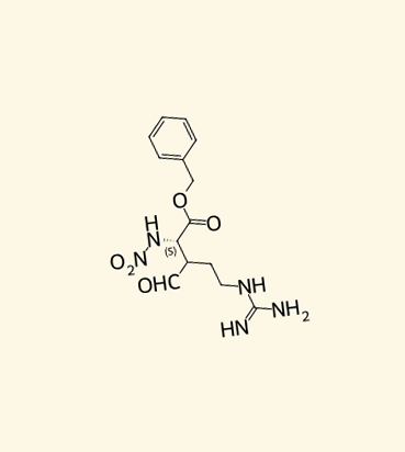 N=C(N)NCCC(C=O)[C@H](N[N+](=O)[O-])C(=O)OCc1ccccc1